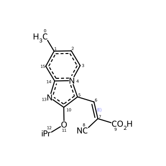 Cc1ccn2c(/C=C(\C#N)C(=O)O)c(OC(C)C)nc2c1